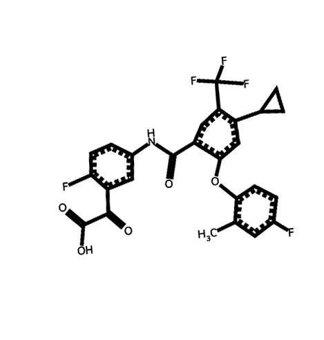 Cc1cc(F)ccc1Oc1cc(C2CC2)c(C(F)(F)F)cc1C(=O)Nc1ccc(F)c(C(=O)C(=O)O)c1